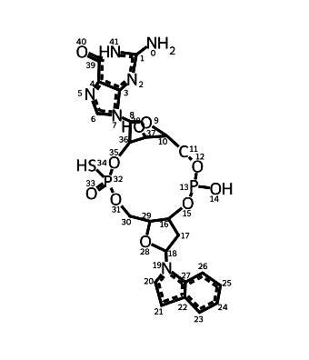 Nc1nc2c(ncn2C2OC3COP(O)OC4CC(n5ccc6ccccc65)OC4COP(=O)(S)OC2C3O)c(=O)[nH]1